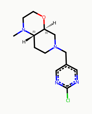 CN1CCO[C@H]2CN(Cc3cnc(Cl)nc3)CC[C@@H]21